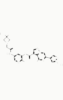 Cc1ncc(NC(=O)CN2CC(C)(C)C2)cc1NC(=O)c1cnn2cc(-c3cnn(C)c3)nc(C)c12